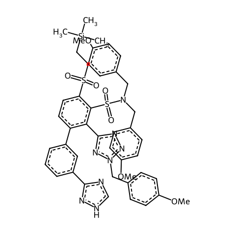 COc1ccc(CN(Cc2ccc(OC)cc2)S(=O)(=O)c2c(S(=O)(=O)CC[Si](C)(C)C)ccc(-c3cccc(-c4nc[nH]n4)c3)c2-c2nnn(Cc3ccc(OC)cc3)n2)cc1